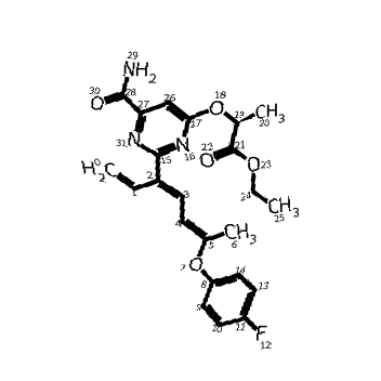 C=C/C(=C\C=C(/C)Oc1ccc(F)cc1)c1nc(O[C@@H](C)C(=O)OCC)cc(C(N)=O)n1